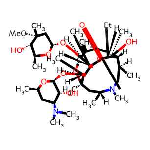 C=C1CC[C@@H]2[C@@H](C)CN(C)[C@H](C)C[C@@](C)(OC1)[C@H](O[C@@H]1O[C@H](C)C[C@H](N(C)C)[C@H]1O)[C@@H](C)[C@H](O[C@H]1C[C@@](C)(OC)[C@@H](O)[C@H](C)O1)[C@@H](C)C(=O)O[C@H](CC)[C@@]2(C)O